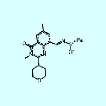 Cc1cc(C=N[S@+]([O-])C(C)(C)C)c2nc(C3CCOCC3)n(C)c(=O)c2c1